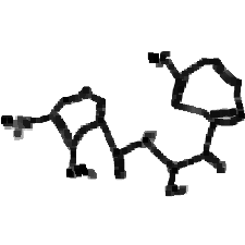 Cc1cccc(C(=O)N(NC(=O)c2cccc([N+](=O)[O-])c2C)C(C)(C)C)c1